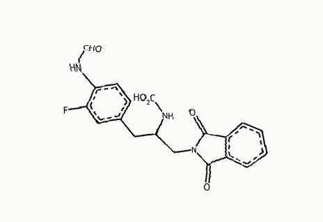 O=CNc1ccc(CC(CN2C(=O)c3ccccc3C2=O)NC(=O)O)cc1F